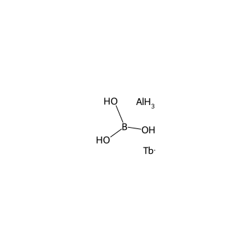 OB(O)O.[AlH3].[Tb]